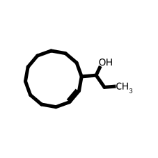 CCC(O)C1C=CCCCCCCCCC1